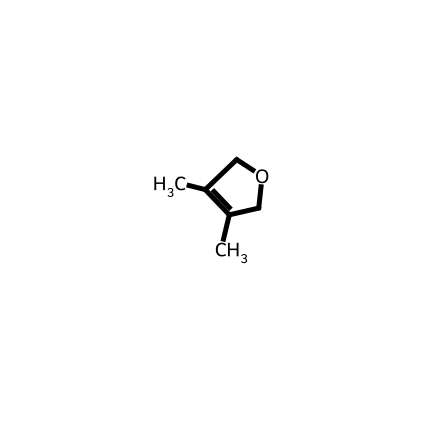 CC1=C(C)COC1